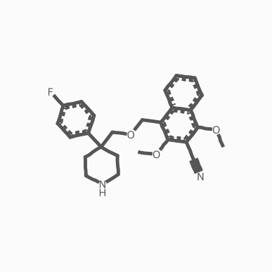 COc1c(C#N)c(OC)c2ccccc2c1COCC1(c2ccc(F)cc2)CCNCC1